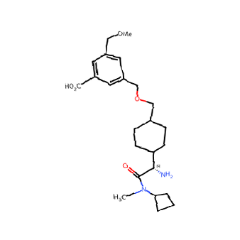 COCc1cc(COCC2CCC([C@H](N)C(=O)N(C)C3CCC3)CC2)cc(C(=O)O)c1